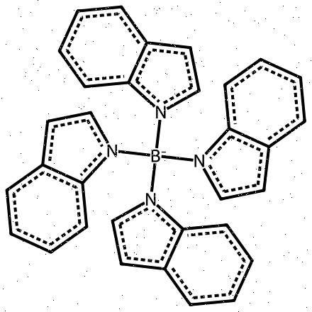 c1ccc2c(c1)ccn2[B-](n1ccc2ccccc21)(n1ccc2ccccc21)n1ccc2ccccc21